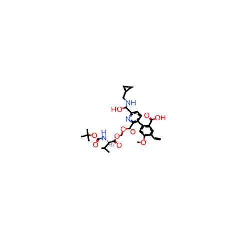 C=Cc1cc(C(=O)O)c(-c2ccc(C(O)NCC3CC3)nc2C(=O)OCOC(=O)[C@@H](NC(=O)OC(C)(C)C)C(C)C)cc1OC